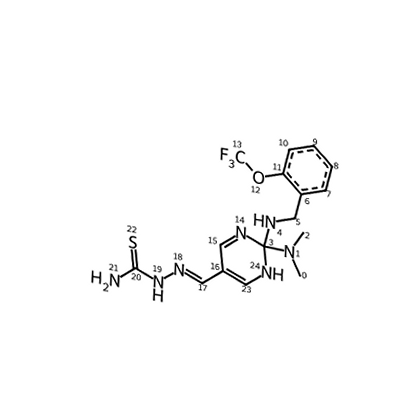 CN(C)C1(NCc2ccccc2OC(F)(F)F)N=CC(C=NNC(N)=S)=CN1